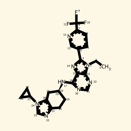 CCn1c(-c2ccc(C(F)(F)F)nc2)nc2c(N[C@H]3CCc4ncn(C5CC5)c4C3)ncnc21